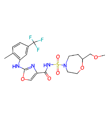 COCC1CCN(S(=O)(=O)NC(=O)c2coc(Nc3cc(C(F)(F)F)ccc3C)n2)CCO1